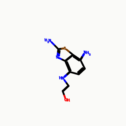 Nc1nc2c(NCCO)ccc(N)c2s1